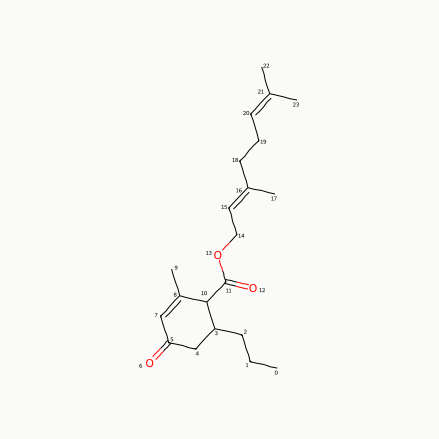 CCCC1CC(=O)C=C(C)C1C(=O)OC/C=C(\C)CCC=C(C)C